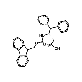 O=C(O)C[C@H](NC(=O)OCC1c2ccccc2-c2ccccc21)C(c1ccccc1)c1ccccc1